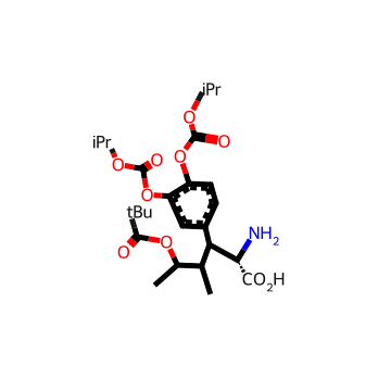 CC(C)OC(=O)Oc1ccc(C(C(C)C(C)OC(=O)C(C)(C)C)[C@H](N)C(=O)O)cc1OC(=O)OC(C)C